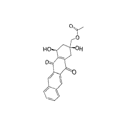 CC(=O)OC[C@]1(O)CC2=C(C(=O)c3cc4ccccc4cc3C2=O)[C@@H](O)C1